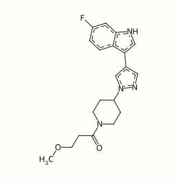 COCCC(=O)N1CCC(n2cc(-c3c[nH]c4cc(F)ccc34)cn2)CC1